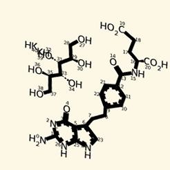 Nc1nc(=O)c2c(CCc3ccc(C(=O)N[C@@H](CCC(=O)O)C(=O)O)cc3)c[nH]c2[nH]1.OC[C@@H](O)[C@@H](O)[C@H](O)[C@H](O)CO.[KH].[KH]